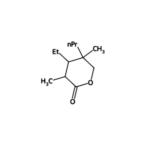 CCCC1(C)COC(=O)C(C)C1CC